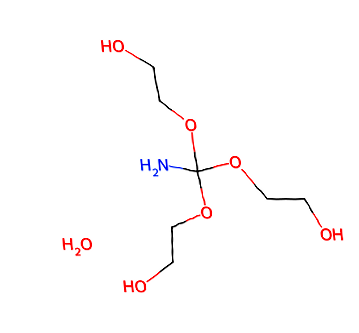 NC(OCCO)(OCCO)OCCO.O